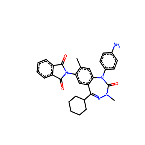 Cc1cc2c(cc1N1C(=O)c3ccccc3C1=O)C(C1CCCCC1)=NN(C)C(=O)N2c1ccc(N)cc1